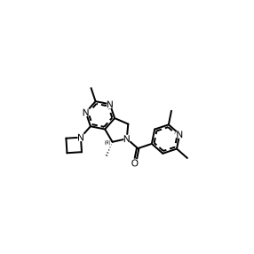 Cc1cc(C(=O)N2Cc3nc(C)nc(N4CCC4)c3[C@H]2C)cc(C)n1